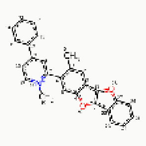 Cc1cc2c(cc1-c1cc(-c3ccccc3)cc[n+]1C)oc1c3ccccc3oc21